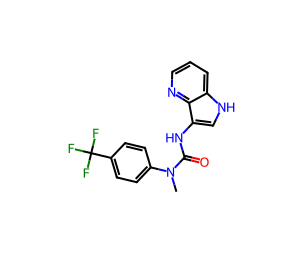 CN(C(=O)Nc1c[nH]c2cccnc12)c1ccc(C(F)(F)F)cc1